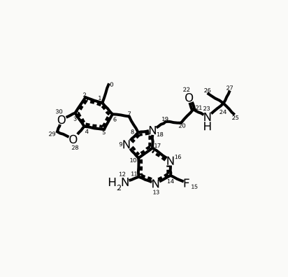 Cc1cc2c(cc1Cc1nc3c(N)nc(F)nc3n1CCC(=O)NC(C)(C)C)OCO2